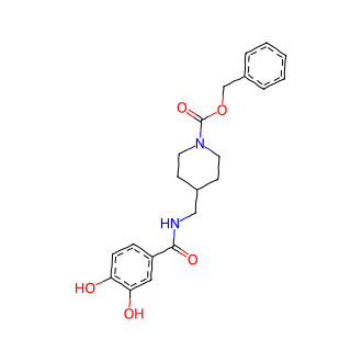 O=C(NCC1CCN(C(=O)OCc2ccccc2)CC1)c1ccc(O)c(O)c1